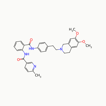 COc1cc2c(cc1OC)CN(CCc1ccc(NC(=O)c3ccccc3NC(=O)c3ccc(C)nc3)cc1)CC2